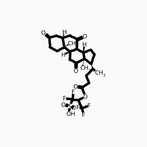 CC(CCC(=O)OC(C(F)(F)F)C(F)(F)S(=O)(=O)O)[C@H]1CC[C@H]2C3C(=O)C[C@@H]4CC(=O)CC[C@]4(C)[C@H]3CC(=O)[C@]12C